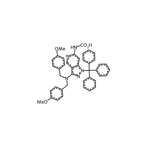 COc1ccc(CN(Cc2ccc(OC)cc2)c2nn(C(c3ccccc3)(c3ccccc3)c3ccccc3)c3cc(NC(=O)O)ncc23)cc1